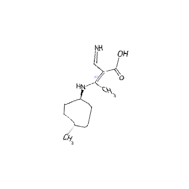 C/C(N[C@H]1CC[C@H](C)CC1)=C(/C=N)C(=O)O